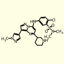 CN(C)S(=O)(=O)c1cc(Nc2cc(C3CCCNC3)nc3c(-c4cnn(C)c4)cnn23)ccc1Cl